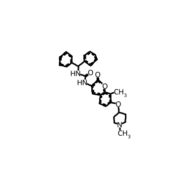 Cc1c(OC2CCN(C)CC2)ccc2cc(NC(=O)NC(c3ccccc3)c3ccccc3)c(=O)oc12